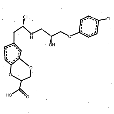 C[C@H](Cc1ccc2c(c1)OCC(C(=O)O)O2)NC[C@H](O)COc1ccc(Cl)cc1